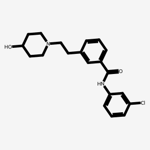 O=C(Nc1cccc(Cl)c1)c1cccc(CCN2CCC(O)CC2)c1